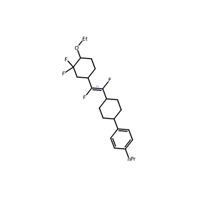 CCCc1ccc(C2CCC(/C(F)=C(\F)C3CCC(OCC)C(F)(F)C3)CC2)cc1